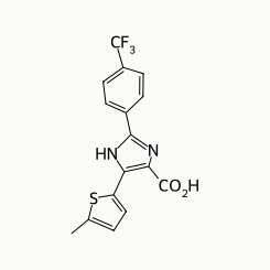 Cc1ccc(-c2[nH]c(-c3ccc(C(F)(F)F)cc3)nc2C(=O)O)s1